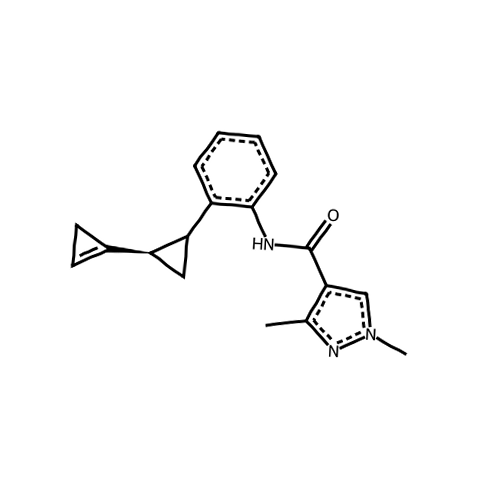 Cc1nn(C)cc1C(=O)Nc1ccccc1C1C[C@H]1C1=CC1